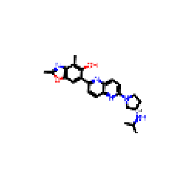 Cc1nc2c(C)c(O)c(-c3ccc4nc(N5CC[C@H](NC(C)C)C5)ccc4n3)cc2o1